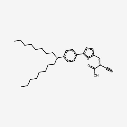 CCCCCCCCN(CCCCCCCC)c1ccc(-c2ccc(C=C(C#N)C(=O)O)s2)cc1